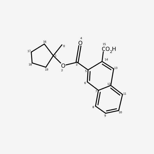 CC1(OC(=O)c2cc3ccccc3cc2C(=O)O)CCCC1